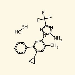 Cc1cc(C2CC2)c(-c2cc[c]cc2)cc1-n1nc(C(F)(F)F)nc1N.OS